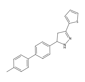 Cc1ccc(-c2ccc(C3CC(c4cccs4)=NN3)cc2)cc1